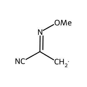 [CH2]C(C#N)=NOC